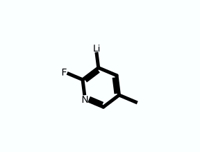 [Li][c]1cc(C)cnc1F